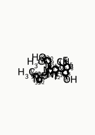 CCc1c(F)ccc2cc(O)cc(-c3ccc4c(N5CCC[C@@](C)(O)C5)nc(OC[C@@]56CCCN5C[C@H](C)C6)nc4c3F)c12